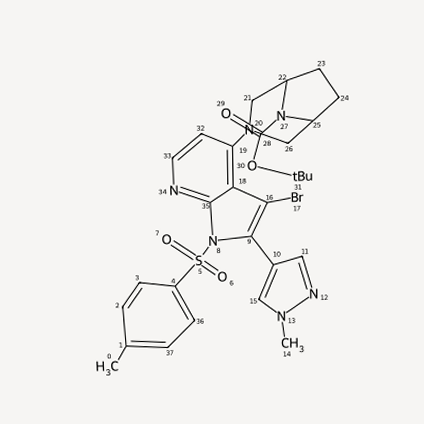 Cc1ccc(S(=O)(=O)n2c(-c3cnn(C)c3)c(Br)c3c(N4CC5CCC(C4)N5C(=O)OC(C)(C)C)ccnc32)cc1